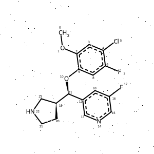 COc1cc(Cl)c(F)cc1O[C@@H](c1cncc(F)c1)[C@H]1CCNC1